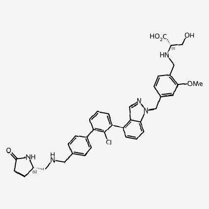 COc1cc(Cn2ncc3c(-c4cccc(-c5ccc(CNC[C@@H]6CCC(=O)N6)cc5)c4Cl)cccc32)ccc1CN[C@@H](CO)C(=O)O